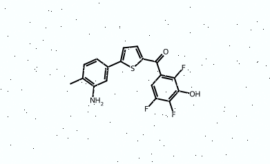 Cc1ccc(-c2ccc(C(=O)c3cc(F)c(F)c(O)c3F)s2)cc1N